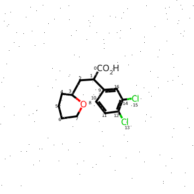 O=C(O)C(CC1CCCCO1)c1ccc(Cl)c(Cl)c1